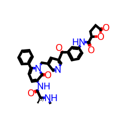 CN[C@@H](C)C(=O)Nc1ccc(-c2ccccc2)n(Cc2cncc(C(=O)c3cccc(NC(=O)C4CCC(=O)O4)c3)c2)c1=O